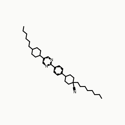 CCCCCCCCC1(C#N)CCC(c2ccc(-c3ncc(C4CCC(CCCCCC)CC4)cn3)cc2)CC1